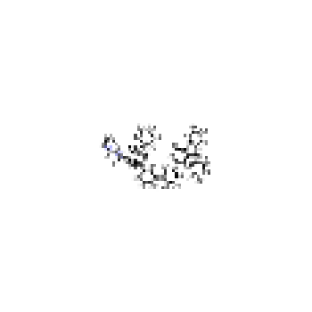 CC/C=C\C=C(/C)c1nc(-c2ccccc2)nc(-c2cccc(-c3cccc(-c4ccc5c(c4)C(C)(c4ccccc4)c4ccccc4-5)c3)c2)n1